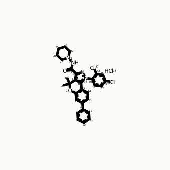 CC1(C)Oc2cc(-c3ccccc3)ccc2-c2c1c(C(=O)NN1CCCCC1)nn2-c1ccc(Cl)cc1Cl.Cl